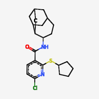 O=C(NC1CCC2CC3CC(C2)C1C3)c1ccc(Cl)nc1SC1CCCC1